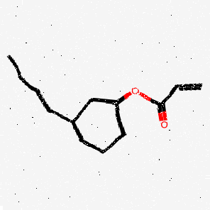 C=CC(=O)OC1CCCC(CCCC)C1